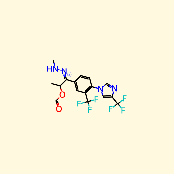 CN/N=C(/c1ccc(-n2cnc(C(F)(F)F)c2)c(C(F)(F)F)c1)C(C)OC=O